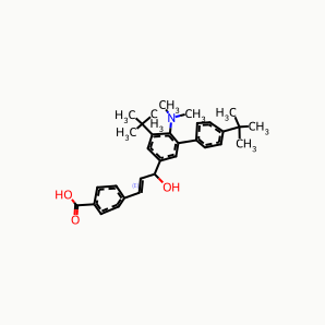 CN(C)c1c(-c2ccc(C(C)(C)C)cc2)cc(C(O)/C=C/c2ccc(C(=O)O)cc2)cc1C(C)(C)C